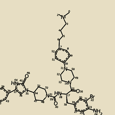 CN(C)CCCCc1ccc(N2CCN(C(=O)[C@@H](Cc3cc(Br)c(N)c(Br)c3)NC(=O)N3CCC(n4cc(-c5ccccc5)[nH]c4=O)CC3)CC2)cc1